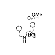 CONC(=O)c1ccc(CN2CCC(NC3CC3c3ccccc3)CC2)cc1.Cl.Cl